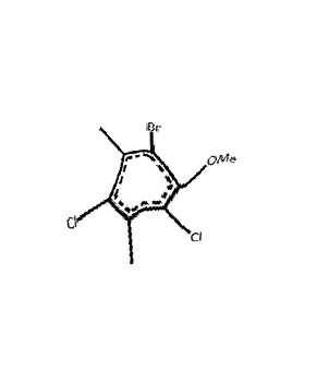 COc1c(Cl)c(C)c(Cl)c(C)c1Br